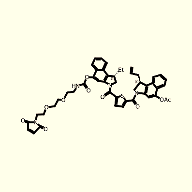 C=CC[C@@H]1CN(C(=O)c2ccc(C(=O)N3C[C@@H](CC)c4c3cc(OC(=O)NCCOCCOCCN3C(=O)C=CC3=O)c3ccccc43)s2)c2cc(OC(C)=O)c3ccccc3c21